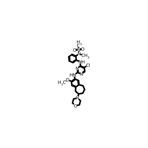 COc1cc2c(cc1Nc1ncc(Cl)c(Nc3ccccc3N(C)S(C)(=O)=O)n1)CCCC(N1CCOCC1)C2